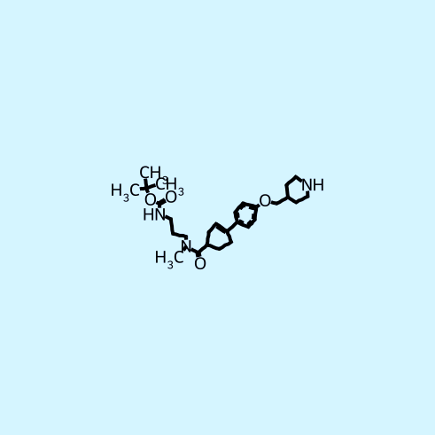 CN(CCCNC(=O)OC(C)(C)C)C(=O)C1CC=C(c2ccc(OCC3CCNCC3)cc2)CC1